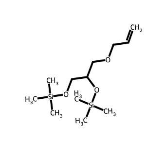 C=CCOCC(CO[Si](C)(C)C)O[Si](C)(C)C